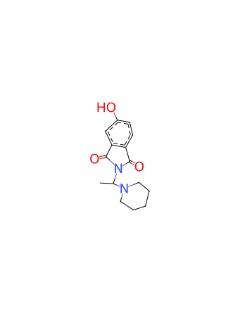 CC(N1CCCCC1)N1C(=O)c2ccc(O)cc2C1=O